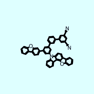 N#Cc1cc(C#N)cc(-c2cccc(-c3cc(-c4ccc5c(c4)oc4ccccc45)cc(-n4c5ccccc5c5c6oc7ccccc7c6ccc54)c3)c2)c1